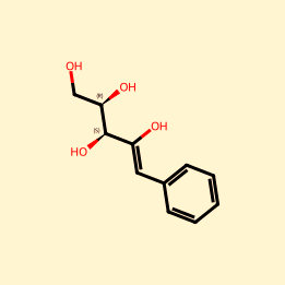 OC[C@@H](O)[C@H](O)C(O)=Cc1ccccc1